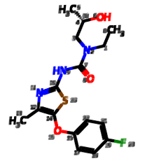 CCN(C[C@H](C)O)C(=O)Nc1nc(C)c(Oc2ccc(F)cc2)s1